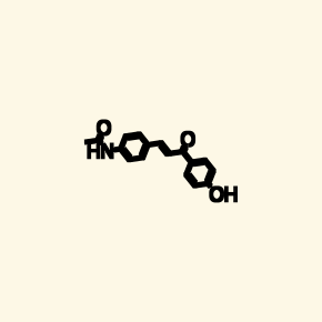 CC(=O)Nc1ccc(C=CC(=O)c2ccc(O)cc2)cc1